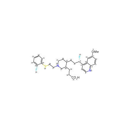 COc1ccc2nccc([C@@H](F)CCC3CCN(CCSc4ccccc4F)CC3CCC(=O)O)c2c1